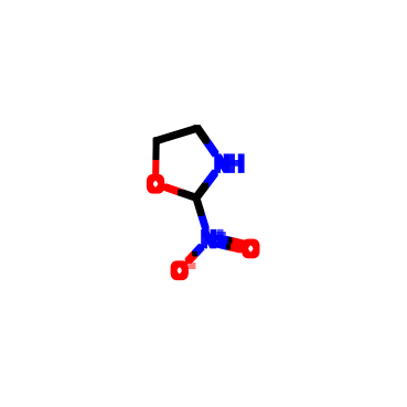 O=[N+]([O-])C1NCCO1